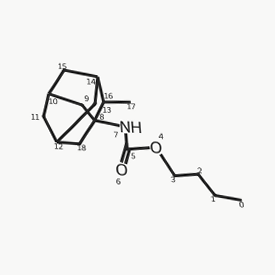 CCCCOC(=O)NC12CC3CC(CC(C3)C1C)C2